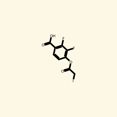 O=C(CI)Oc1ccc(C(=O)O)c(F)c1F